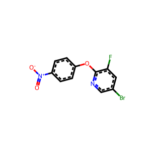 O=[N+]([O-])c1ccc(Oc2ncc(Br)cc2F)cc1